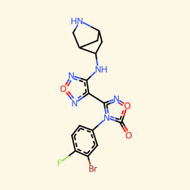 O=c1onc(-c2nonc2NC2CC3CC2CN3)n1-c1ccc(F)c(Br)c1